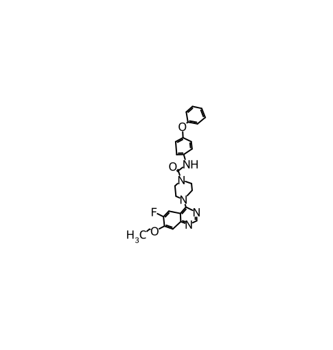 CCOc1cc2ncnc(N3CCN(C(=O)Nc4ccc(Oc5ccccc5)cc4)CC3)c2cc1F